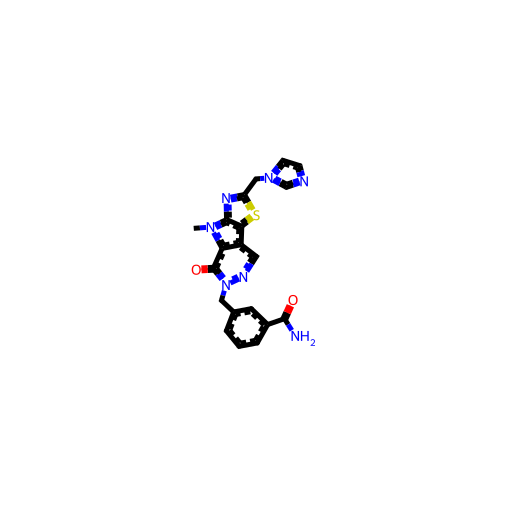 Cn1c2nc(Cn3ccnc3)sc2c2cnn(Cc3cccc(C(N)=O)c3)c(=O)c21